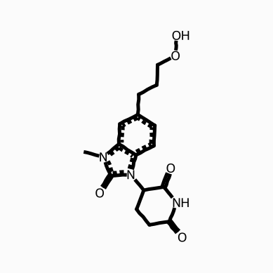 Cn1c(=O)n(C2CCC(=O)NC2=O)c2ccc(CCCOO)cc21